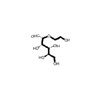 O=C[C@H](OCCO)[C@@H](O)[C@H](O)[C@H](O)CO